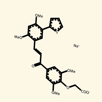 COc1cc(OC)c(-c2cccs2)cc1C=CC(=O)c1cc(OC)c(OCC(=O)[O-])c(OC)c1.[Na+]